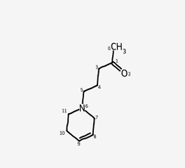 CC(=O)CCCN1CC=CCC1